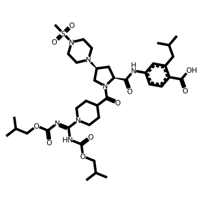 CC(C)COC(=O)N=C(NC(=O)OCC(C)C)N1CCC(C(=O)N2C[C@@H](N3CCN(S(C)(=O)=O)CC3)C[C@H]2C(=O)Nc2ccc(C(=O)O)c(CC(C)C)c2)CC1